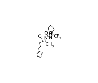 CC1[C@@H](CCCc2ccccc2)C(=O)N1C(=O)NC(C1CCCCC1)C(F)(F)F